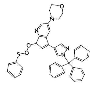 C1=C(c2cnn(C(c3ccccc3)(c3ccccc3)c3ccccc3)c2)c2cc(N3CCOCC3)cnc2C1OOSc1ccccc1